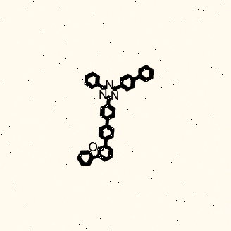 c1ccc(-c2ccc(-c3nc(-c4ccccc4)nc(-c4ccc(-c5ccc(-c6cccc7c6oc6ccccc67)cc5)cc4)n3)cc2)cc1